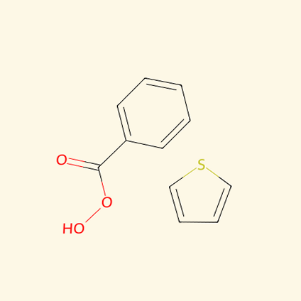 O=C(OO)c1ccccc1.c1ccsc1